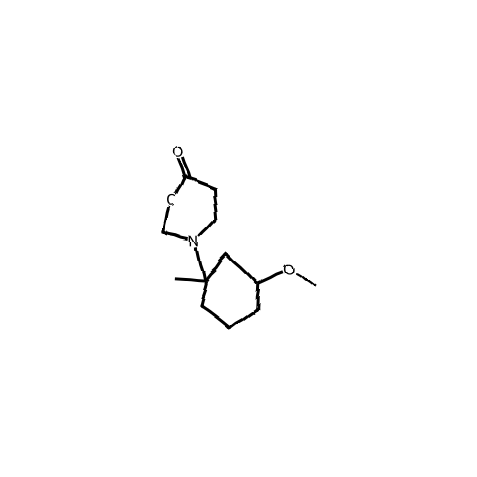 COC1CCCC(C)(N2CCC(=O)CC2)C1